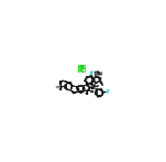 Cl.Cl.[CH2]=[Zr]([C]1=CC(C(C)(C)C)=CC1C)([C]1=Cc2cc3c(cc2C1(C)C)Cc1cc2c(cc1-3)C=CC2(C)C)([c]1cccc(F)c1)[c]1cccc(F)c1